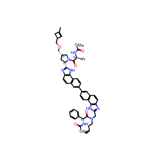 C=CCCN(Cc1nc2ccc3cc(-c4ccc5c(ccc6nc([C@@H]7C[C@H](COCC8C=C(C)C8)CN7C(=O)[C@@H](NC(=O)OC)C(C)C)[nH]c65)c4)ccc3c2[nH]1)C(=O)[C@H](NC(=O)OC)c1ccccc1